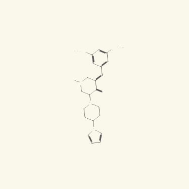 COc1cc(C=C2CN(C)CC(N3CCC(n4cccc4)CC3)C2=O)cc(OC)c1